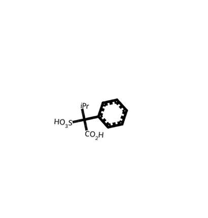 CC(C)C(C(=O)O)(c1ccccc1)S(=O)(=O)O